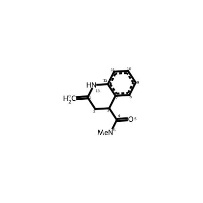 C=C1CC(C(=O)NC)c2ccccc2N1